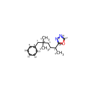 CC(CCC(C)(C)Cc1ccccc1)c1nnco1